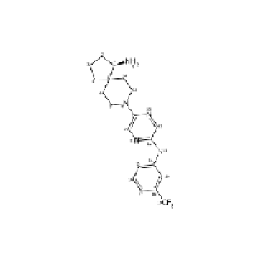 N[C@@H]1CCCC12CCN(c1cnc(Sc3cccc(C(F)(F)F)c3)cn1)CC2